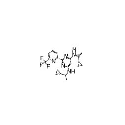 CC(Nc1cc(N[C@@H](C)C2CC2)nc(-c2cccc(C(F)(F)F)n2)n1)C1CC1